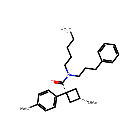 COc1ccc([C@]2(C(=O)N(CCCCC(=O)O)CCCc3ccccc3)C[C@@H](OC)C2)cc1